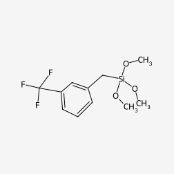 CO[Si](Cc1cccc(C(F)(F)F)c1)(OC)OC